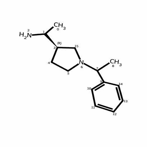 CC(N)[C@@H]1CCN(C(C)c2ccccc2)C1